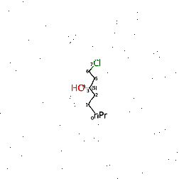 CCCCC[C@H](O)CCCl